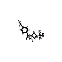 CN(c1ccc(C#N)cc1)[C@H]1C[C@@H](C(F)(F)F)C1